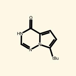 CC(C)(C)c1ccc2c(=O)[nH]cnn12